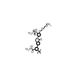 CNC(=O)c1cc(-c2ccc3c(c2)CCN(c2ccc(OCOCCOC)c(NS(C)(=O)=O)c2)C3=O)cc(C(F)(F)F)c1